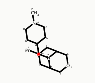 CC(C)N1CC2COCC(C1)N2CC1CCN(C)CC1